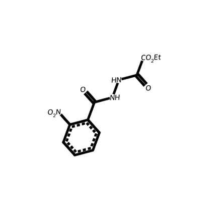 CCOC(=O)C(=O)NNC(=O)c1ccccc1[N+](=O)[O-]